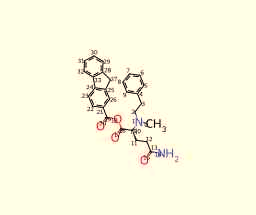 CN(CCc1ccccc1)[C@@H](CCC(N)=O)C(=O)OC(=O)c1ccc2c(c1)Cc1ccccc1-2